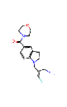 NC/C(=C\F)CN1CCc2cc(C(=O)N3CCOCC3)ccc21